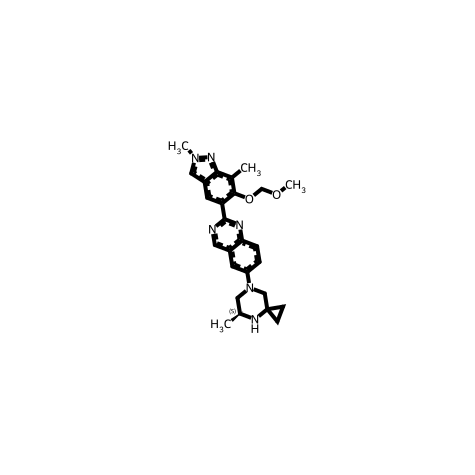 COCOc1c(-c2ncc3cc(N4C[C@H](C)NC5(CC5)C4)ccc3n2)cc2cn(C)nc2c1C